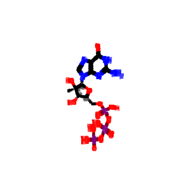 C[C@@]1(O)[C@@H](O)[C@@H](COP(=O)(O)OP(=O)(O)OP(=O)(O)O)O[C@H]1n1cnc2c(=O)[nH]c(N)nc21